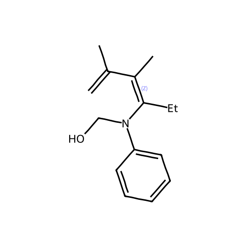 C=C(C)/C(C)=C(/CC)N(CO)c1ccccc1